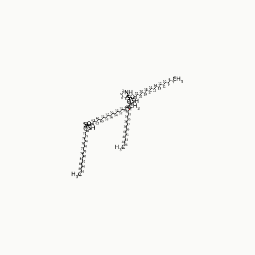 C1CCNCC1.CCCCCCCCCCCCCCCCCCOP(=S)(S)OCCCCCCCCCCCCCCCCCC.CCCCCCCCCCCCCCCCCCOP(=S)(S)OCCCCCCCCCCCCCCCCCC